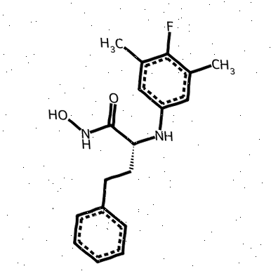 Cc1cc(N[C@H](CCc2ccccc2)C(=O)NO)cc(C)c1F